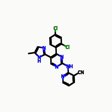 Cc1cnc(-c2cnc(Nc3ncccc3C#N)nc2-c2ccc(Cl)cc2Cl)[nH]1